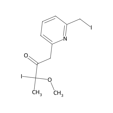 COC(C)(I)C(=O)Cc1cccc(CI)n1